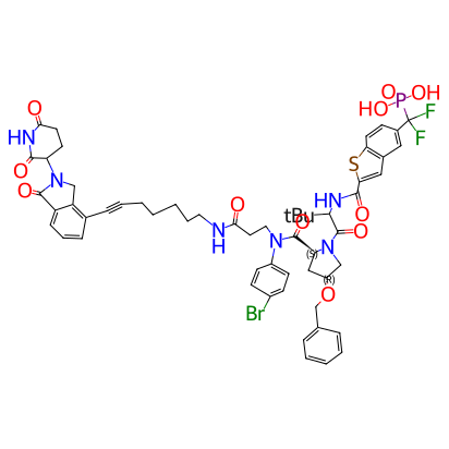 CC(C)(C)C(NC(=O)c1cc2cc(C(F)(F)P(=O)(O)O)ccc2s1)C(=O)N1C[C@H](OCc2ccccc2)C[C@H]1C(=O)N(CCC(=O)NCCCCCC#Cc1cccc2c1CN(C1CCC(=O)NC1=O)C2=O)c1ccc(Br)cc1